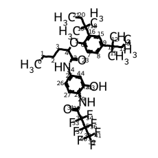 CCCCC(Oc1ccc(C(C)(C)CC)cc1C(C)(C)CC)C(=O)Nc1ccc(NC(=O)C(F)(F)C(F)(F)C(F)(F)F)c(O)c1